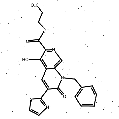 O=C(O)CCNC(=O)c1ncc2c(cc(-c3nccs3)c(=O)n2Cc2ccccc2)c1O